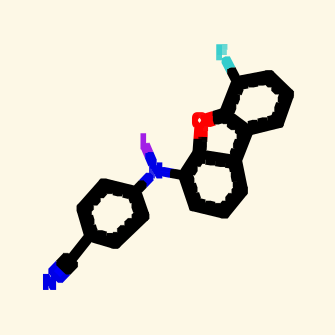 N#Cc1ccc(N(I)c2cccc3c2oc2c(F)cccc23)cc1